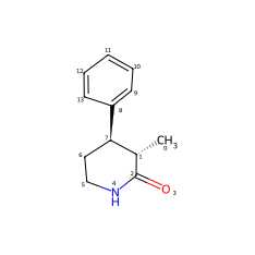 C[C@@H]1C(=O)NCC[C@H]1c1ccccc1